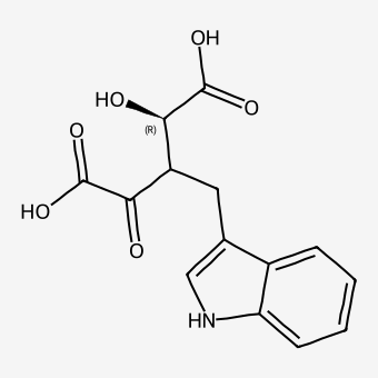 O=C(O)C(=O)C(Cc1c[nH]c2ccccc12)[C@@H](O)C(=O)O